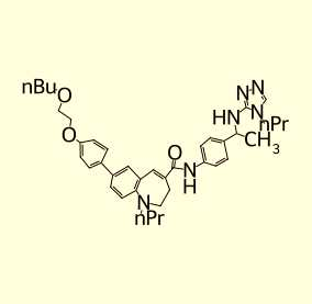 CCCCOCCOc1ccc(-c2ccc3c(c2)C=C(C(=O)Nc2ccc(C(C)Nc4nncn4CCC)cc2)CCN3CCC)cc1